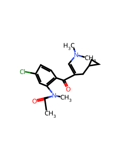 CC(=O)N(C)c1cc(Cl)ccc1C(=O)C(=CN(C)C)CC1CC1